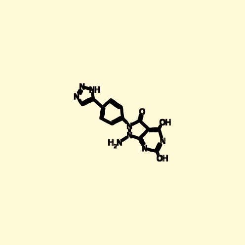 Nn1c2nc(O)nc(O)c2c(=O)n1-c1ccc(-c2cnn[nH]2)cc1